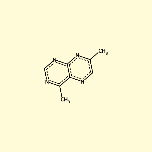 Cc1cnc2c(C)ncnc2n1